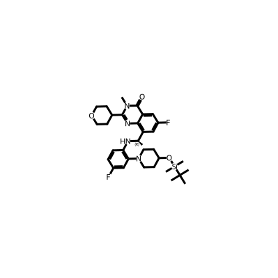 C[C@@H](Nc1ccc(F)cc1N1CCC(O[Si](C)(C)C(C)(C)C)CC1)c1cc(F)cc2c(=O)n(C)c(C3CCOCC3)nc12